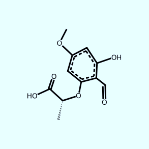 COc1cc(O)c(C=O)c(O[C@H](C)C(=O)O)c1